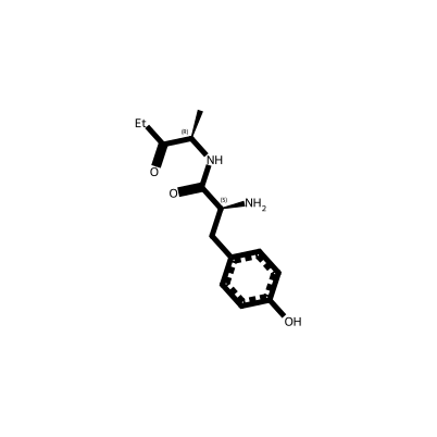 CCC(=O)[C@@H](C)NC(=O)[C@@H](N)Cc1ccc(O)cc1